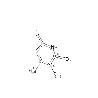 Bc1cc(=O)[nH]c(=O)n1C